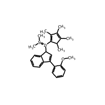 COc1ccccc1C1=C[CH]([Zr]([C]2=C(C)C(C)=C(C)C2C)=[Si](C)C)c2ccccc21